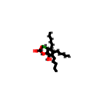 CCCCCc1c(O)c(OC(=O)O)c(Br)c(CCCCC)c1CCCCC